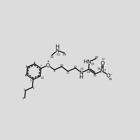 CCCc1cccc(OCCCCNC(=C[N+](=O)[O-])NC)c1.CNC